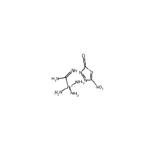 N=C(N)[N+](N)(N)N.O=C1N=NC([N+](=O)[O-])=N1